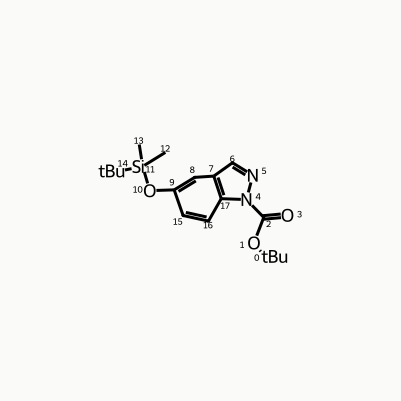 CC(C)(C)OC(=O)n1ncc2cc(O[Si](C)(C)C(C)(C)C)ccc21